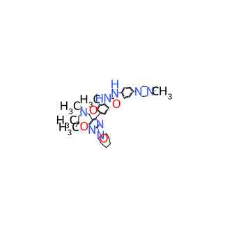 CCN1CC(C)(C)Oc2nc(N3CC4CCC(C3)O4)nc(-c3ccc(NC(=O)Nc4ccc(N5CCN(C)CC5)cc4)c(C)c3)c2C1=O